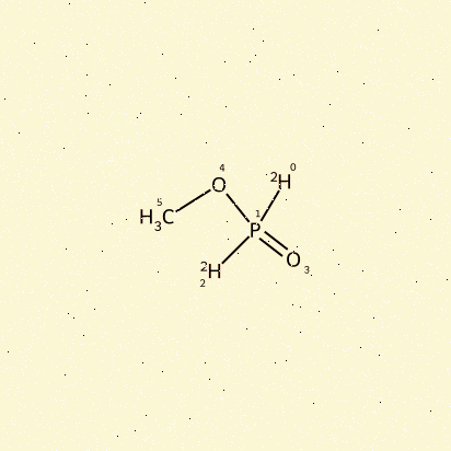 [2H]P([2H])(=O)OC